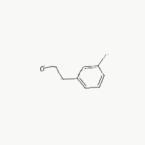 [CH2]c1cccc([CH]CCl)c1